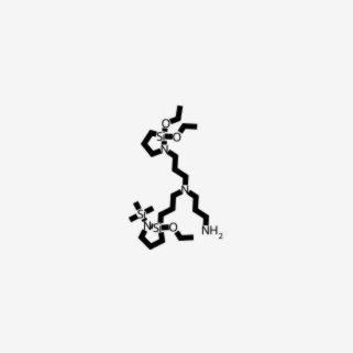 CCO[Si]1(CCCN(CCCN)CCCN2CCC[Si]2(OCC)OCC)CCCN1[Si](C)(C)C